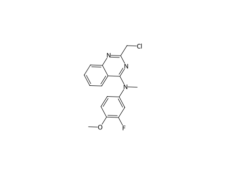 COc1ccc(N(C)c2nc(CCl)nc3ccccc23)cc1F